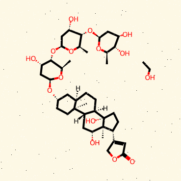 CCO.C[C@H]1O[C@@H](O[C@H]2[C@@H](O)C[C@H](O[C@H]3[C@@H](O)C[C@H](O[C@H]4CC[C@@]5(C)[C@H](CC[C@@H]6[C@@H]5C[C@@H](O)[C@]5(C)[C@@H](C7=CC(=O)OC7)CC[C@]65O)C4)O[C@@H]3C)O[C@@H]2C)C[C@H](O)[C@@H]1O